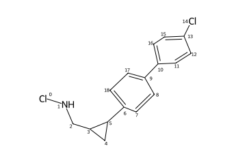 ClNCC1CC1c1ccc(-c2ccc(Cl)cc2)cc1